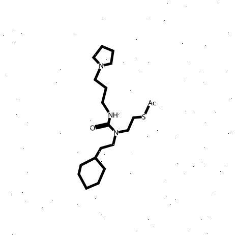 CC(=O)SCCN(CCC1CCCCC1)C(=O)NCCCN1CCCC1